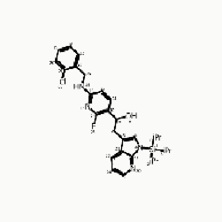 CC(C)[Si](C(C)C)(C(C)C)n1cc(CC(O)c2ccc(NCc3ccccc3Cl)nc2F)c2cccnc21